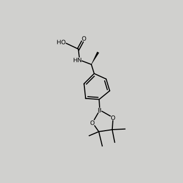 C[C@H](NC(=O)O)c1ccc(B2OC(C)(C)C(C)(C)O2)cc1